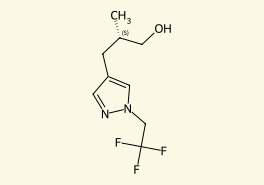 C[C@H](CO)Cc1cnn(CC(F)(F)F)c1